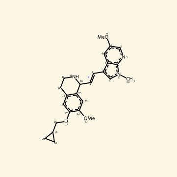 COc1cnc2c(c1)c(/C=C/C1NCCc3cc(OCC4CC4)c(OC)cc31)cn2C